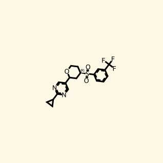 O=S(=O)(c1cccc(C(F)(F)F)c1)[C@@H]1CCOC(c2cnc(C3CC3)nc2)C1